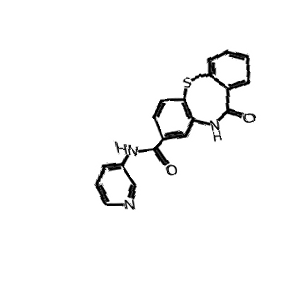 O=C(Nc1cccnc1)c1ccc2c(c1)NC(=O)c1ccccc1S2